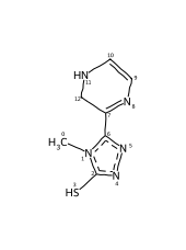 Cn1c(S)nnc1C1=NC=CNC1